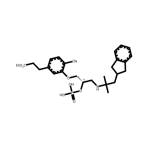 CCOC(=O)CCc1ccc(C#N)c(OC[C@H](CNC(C)(C)CC2Cc3ccccc3C2)OP(=O)(O)O)c1